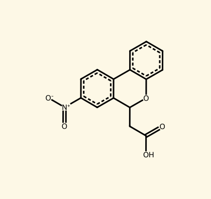 O=C(O)CC1Oc2ccccc2-c2ccc([N+](=O)[O-])cc21